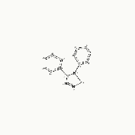 c1ccc(N2CN=NN2c2ccccc2)cc1